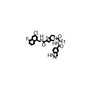 CC[C@@H](NC(=O)c1ccc2[nH]ncc2c1)C(=O)N1CCc2sc(C(=O)NCc3cc(Cl)cc4c(F)cccc34)cc2C1